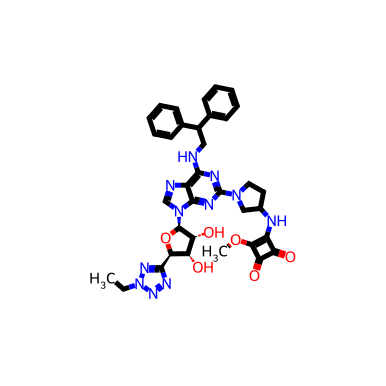 CCn1nnc([C@H]2O[C@@H](n3cnc4c(NCC(c5ccccc5)c5ccccc5)nc(N5CCC(Nc6c(OC)c(=O)c6=O)C5)nc43)[C@H](O)[C@@H]2O)n1